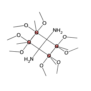 CO[Si](OC)(OC)C(N)(C(N)([Si](OC)(OC)OC)[Si](OC)(OC)OC)[Si](OC)(OC)OC